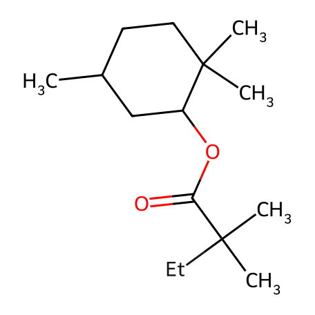 CCC(C)(C)C(=O)OC1CC(C)CCC1(C)C